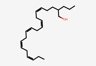 CC/C=C\C/C=C\C/C=C\C/C=C\C/C=C\CCC(CO)CCC